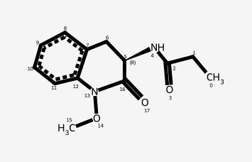 CCC(=O)N[C@@H]1Cc2ccccc2N(OC)C1=O